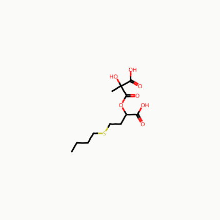 CCCCSCCC(OC(=O)C(C)(O)C(=O)O)C(=O)O